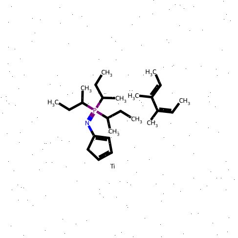 CC=C(C)C(C)=CC.CCC(C)P(=NC1=CC=CC1)(C(C)CC)C(C)CC.[Ti]